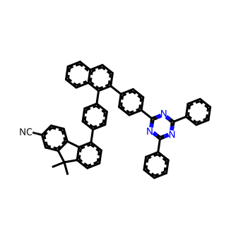 CC1(C)c2cc(C#N)ccc2-c2c(-c3ccc(-c4c(-c5ccc(-c6nc(-c7ccccc7)nc(-c7ccccc7)n6)cc5)ccc5ccccc45)cc3)cccc21